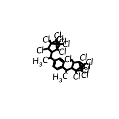 CC(c1ccc(C(C)C2C(Cl)C3(Cl)C(Cl)=C(Cl)C2(Cl)C3(Cl)Cl)cc1)C1C(Cl)C2(Cl)C(Cl)=C(Cl)C1(Cl)C2(Cl)Cl